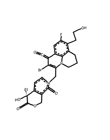 CC[C@@]1(O)C(=O)OCc2c1ccn(CC1=C(Br)C(=C=O)c3cc(F)c(CCO)c4c3N1CCC4)c2=O